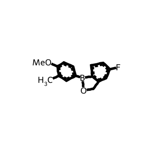 COc1ccc(B2OCc3cc(F)ccc32)cc1C